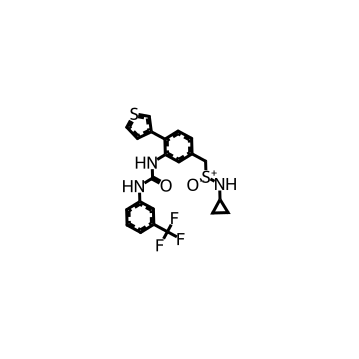 O=C(Nc1cccc(C(F)(F)F)c1)Nc1cc(C[S+]([O-])NC2CC2)ccc1-c1ccsc1